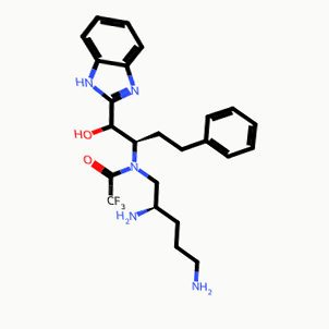 NCCC[C@@H](N)CN(C(=O)C(F)(F)F)[C@H](CCc1ccccc1)C(O)c1nc2ccccc2[nH]1